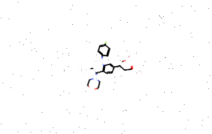 CC[C@@H](c1ccc([C@@H](COC)CC(=O)O)cc1Nc1ccc(F)cc1)N1CCOCC1